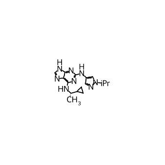 CC(C)n1cc(Nc2nc(N[C@@H](C)C3CC3)c3nc[nH]c3n2)cn1